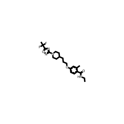 CCNC(=O)c1ccc(OCCCC2CCN(c3noc(C(C)(F)F)n3)CC2)cc1C